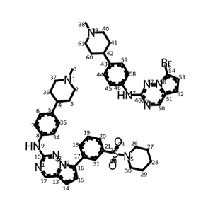 CN1CCC(c2ccc(Nc3ncc4ccc(-c5cccc(S(=O)(=O)N6CCCCC6)c5)n4n3)cc2)CC1.CN1CCC(c2ccc(Nc3ncc4ccc(Br)n4n3)cc2)CC1